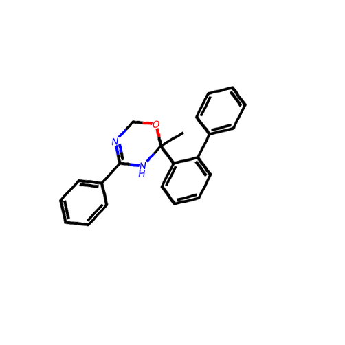 CC1(c2ccccc2-c2ccccc2)NC(c2ccccc2)=NCO1